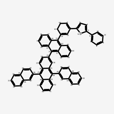 C1=C(c2ccc(-c3ccccc3)s2)C=C(c2c3ccccc3c(-c3ccc4c(-c5ccc6ccccc6c5)c5ccccc5c(-c5ccc6ccccc6c5)c4c3)c3ccccc23)CC1